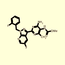 COC(=O)Nc1c(C)nc(-c2nn(Cc3ccccc3F)c3ncc(F)cc23)nc1N